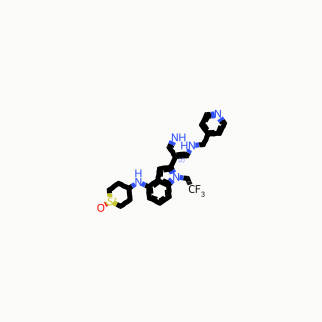 N=C/C(=C\NCc1ccncc1)c1cc2c(NC3CC[S+]([O-])CC3)cccc2n1CC(F)(F)F